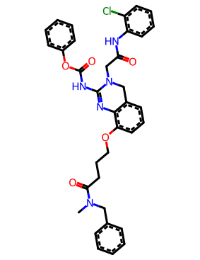 CN(Cc1ccccc1)C(=O)CCCOc1cccc2c1N=C(NC(=O)Oc1ccccc1)N(CC(=O)Nc1ccccc1Cl)C2